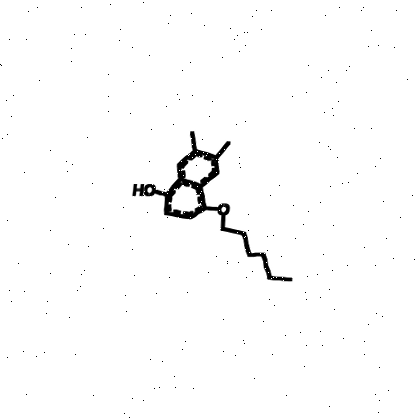 CCCCCCOc1ccc(O)c2cc(C)c(C)cc12